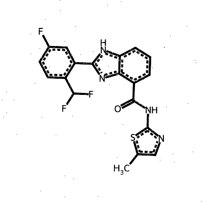 Cc1cnc(NC(=O)c2cccc3[nH]c(-c4cc(F)ccc4C(F)F)nc23)s1